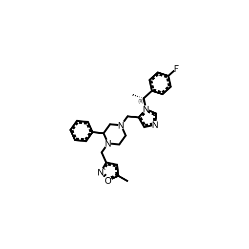 Cc1cc(CN2CCN(Cc3cncn3[C@H](C)c3ccc(F)cc3)CC2c2ccccc2)no1